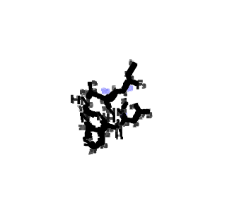 C=C/C(F)=C\C=C(/N)[C@H](C)Nc1nc(N/C(C=C(C)C)=N/C)c2ccsc2n1